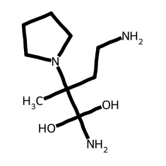 CC(CCN)(N1CCCC1)C(N)(O)O